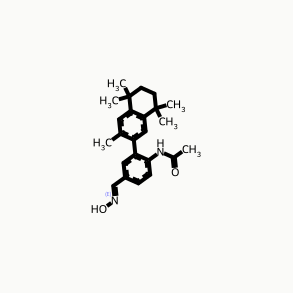 CC(=O)Nc1ccc(/C=N/O)cc1-c1cc2c(cc1C)C(C)(C)CCC2(C)C